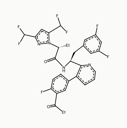 CCC(=O)c1cc(-c2cccnc2[C@H](Cc2cc(F)cc(F)c2)NC(=O)[C@@H](CC)n2nc(C(F)F)cc2C(F)F)ccc1F